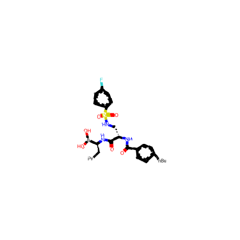 CCCCc1ccc(C(=O)N[C@@H](CNS(=O)(=O)c2ccc(F)cc2)C(=O)N[C@@H](CC(C)C)B(O)O)cc1